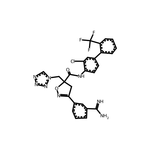 N=C(N)c1cccc(C2=NOC(Cn3cnnn3)(C(=O)Nc3ccc(-c4ccccc4C(F)(F)F)cc3Cl)C2)c1